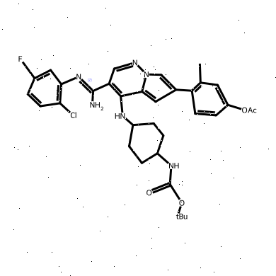 CC(=O)Oc1ccc(-c2cc3c(NC4CCC(NC(=O)OC(C)(C)C)CC4)c(/C(N)=N/c4cc(F)ccc4Cl)cnn3c2)c(C)c1